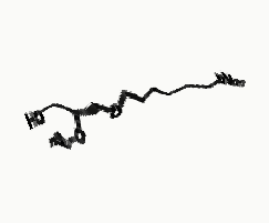 CCCCCCCCCCCCCCCOCC(CO)OCCCC